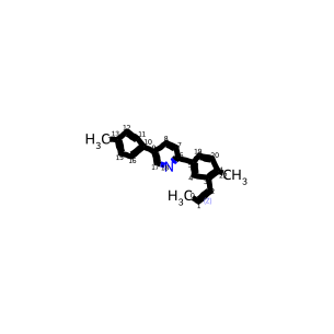 C/C=C\c1cc(-c2ccc(-c3ccc(C)cc3)cn2)ccc1C